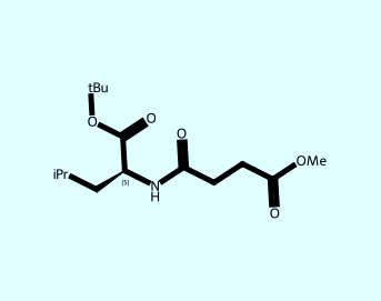 COC(=O)CCC(=O)N[C@@H](CC(C)C)C(=O)OC(C)(C)C